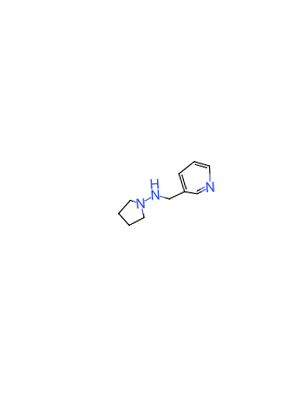 c1cncc(CNN2CCCC2)c1